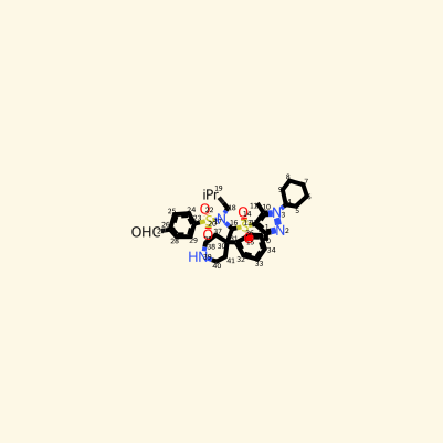 Cc1nn(C2CCCCC2)c(C)c1S(=O)(=O)C(N(CC(C)C)S(=O)(=O)c1ccc(C=O)cc1)C1(c2ccccc2)CCNCC1